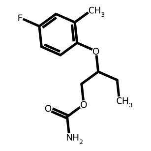 CCC(COC(N)=O)Oc1ccc(F)cc1C